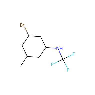 CC1CC(Br)CC(NC(F)(F)F)C1